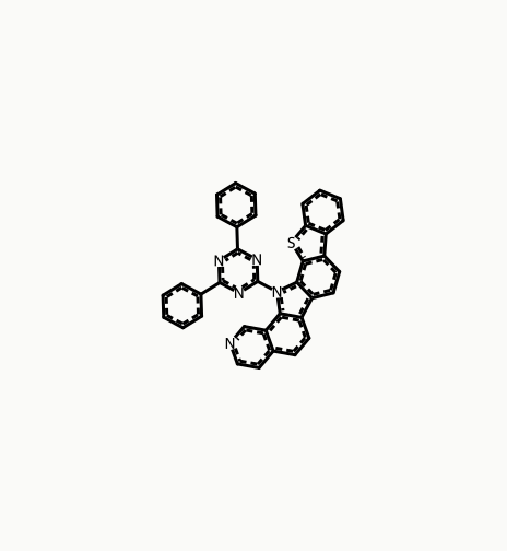 c1ccc(-c2nc(-c3ccccc3)nc(-n3c4c5cnccc5ccc4c4ccc5c6ccccc6sc5c43)n2)cc1